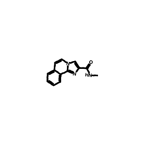 CNC(=O)c1cn2ccc3ccccc3c2n1